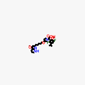 COc1cc(CCCCCO[C@@H]2CCN([C@@H](C(=O)O)c3c(F)c(C(C)C)cc(F)c3OC)C2)nc2c1CCCN2